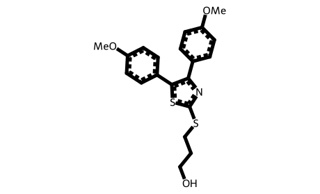 COc1ccc(-c2nc(SCCCO)sc2-c2ccc(OC)cc2)cc1